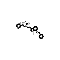 O=C(O)N(CCc1c[nH]c2c(OCc3ccccc3)cccc12)C[C@@H](O)c1cccnc1